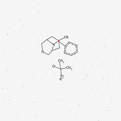 CCC(C)(C)[O-].N#CC1CC2COCC(C1)N2Cc1ccccc1.[K+]